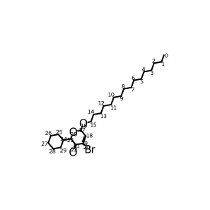 CCCCCCCCCCCCCCCCOC1C=C(Br)C(=O)C(C2CCCCC2)O1